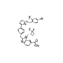 N#Cc1ccc(COc2cccc(-c3ccc(Cc4nc5ccc(C(=O)O)cc5n4C[C@H]4CCC4(F)F)cc3)n2)c(F)c1